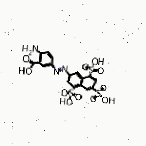 Nc1ccc(/N=N/c2cc(S(=O)(=O)O)c3cc(S(=O)(=O)O)cc(S(=O)(=O)O)c3c2)cc1C(=O)O